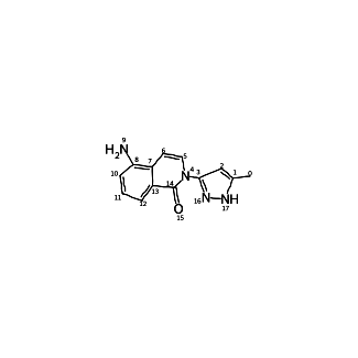 Cc1cc(-n2ccc3c(N)cccc3c2=O)n[nH]1